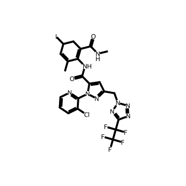 CNC(=O)C1=C(NC(=O)c2cc(Cn3nnc(C(F)(F)C(F)(F)F)n3)nn2-c2ncccc2Cl)C(C)=CC(I)C1